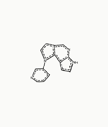 c1cncc(-n2ccc3cnc4[nH]ccc4c32)c1